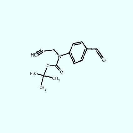 C#CCN(C(=O)OC(C)(C)C)c1ccc(C=O)cc1